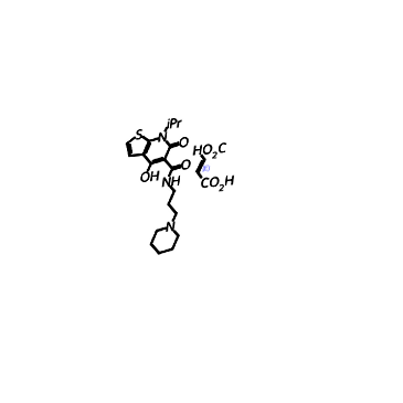 CC(C)n1c(=O)c(C(=O)NCCCN2CCCCC2)c(O)c2ccsc21.O=C(O)/C=C/C(=O)O